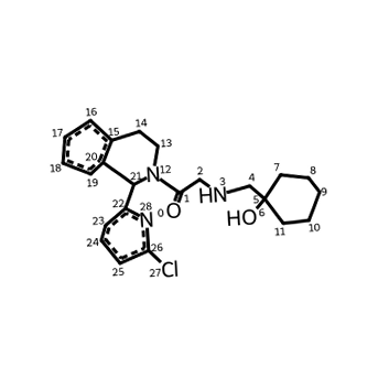 O=C(CNCC1(O)CCCCC1)N1CCc2ccccc2C1c1cccc(Cl)n1